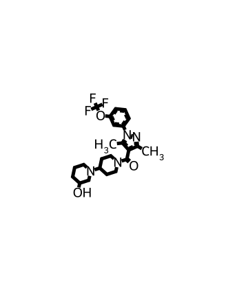 Cc1nn(-c2cccc(OC(F)(F)F)c2)c(C)c1C(=O)N1CCC(N2CCCC(O)C2)CC1